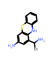 CCC(N)c1cc(N)cc2c1Nc1ccccc1S2